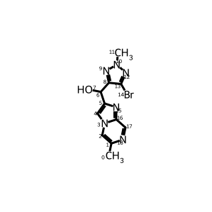 Cc1cn2cc(C(O)c3nn(C)nc3Br)nc2cn1